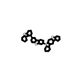 c1ccc2c(c1)oc1cc3c(cc12)c1ccccc1n3-c1ccc2c(c1)oc1ccc(-c3cccc4oc5ccccc5c34)cc12